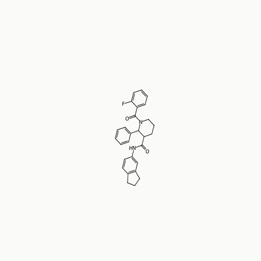 O=C(Nc1ccc2c(c1)CCC2)C1CCCN(C(=O)c2ccccc2F)C1c1ccccc1